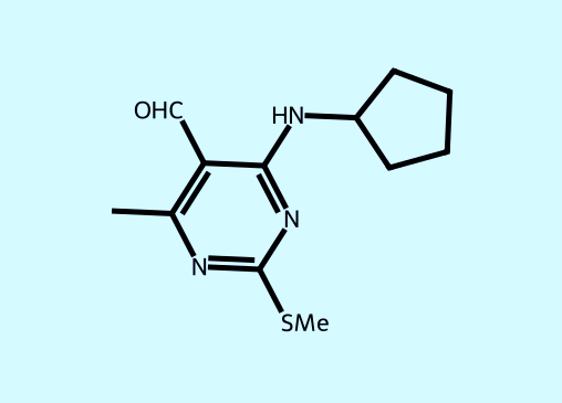 CSc1nc(C)c(C=O)c(NC2CCCC2)n1